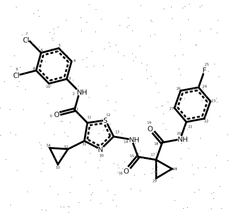 O=C(Nc1ccc(Cl)c(Cl)c1)c1sc(NC(=O)C2(C(=O)Nc3ccc(F)cc3)CC2)nc1C1CC1